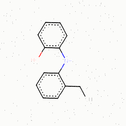 CCc1ccccc1Nc1ccccc1O